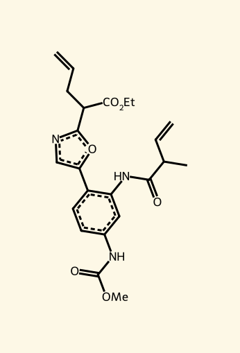 C=CCC(C(=O)OCC)c1ncc(-c2ccc(NC(=O)OC)cc2NC(=O)C(C)C=C)o1